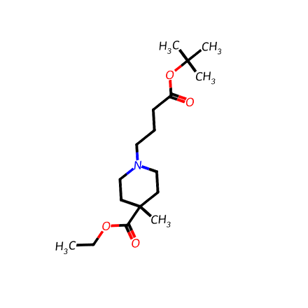 CCOC(=O)C1(C)CCN(CCCC(=O)OC(C)(C)C)CC1